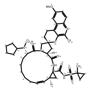 COc1ccc2nc(C(F)(F)F)c3c(c2c1)CC[C@]1(C[C@H]2C(=O)N[C@]4(C(=O)NS(=O)(=O)C5(C)CC5)C[C@H]4/C=C\CCCCC[C@H](N(C(=O)O)C4CCCC4)C(=O)N2C1)O3